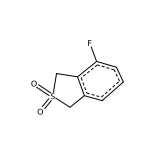 O=S1(=O)Cc2cccc(F)c2C1